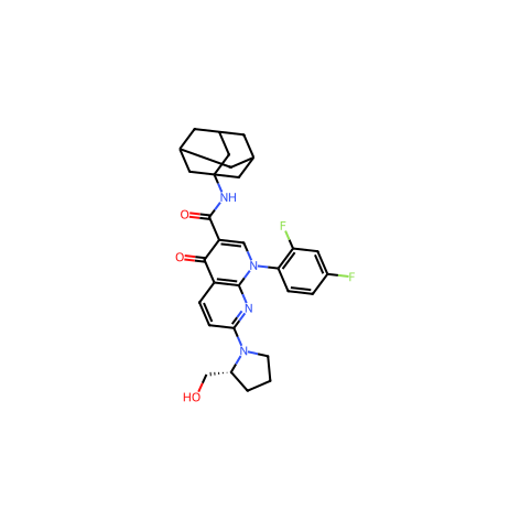 O=C(NC12CC3CC(CC(C3)C1)C2)c1cn(-c2ccc(F)cc2F)c2nc(N3CCC[C@@H]3CO)ccc2c1=O